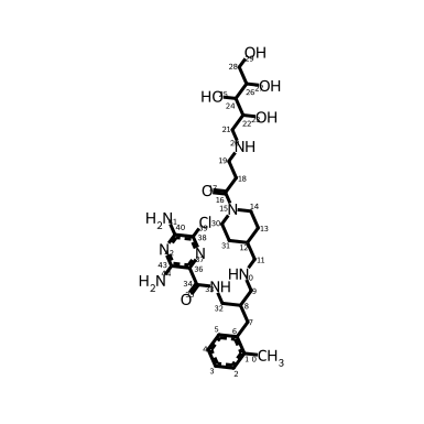 Cc1ccccc1CC(CNCC1CCN(C(=O)CCNCC(O)C(O)C(O)CO)CC1)CNC(=O)c1nc(Cl)c(N)nc1N